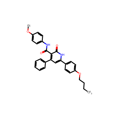 CCOc1ccc(NC(=O)c2c(-c3ccccc3)cc(-c3ccc(OCCCC(F)(F)F)cc3)[nH]c2=O)cc1